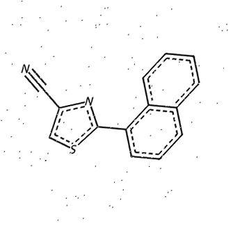 N#Cc1csc(-c2cccc3ccccc23)n1